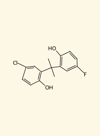 CC(C)(c1cc(F)ccc1O)c1cc(Cl)ccc1O